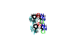 Fc1ccc(Oc2cc(Cl)ncn2)cc1C(F)(F)F.Fc1ccc(Oc2cc(Cl)ncn2)cc1C(F)(F)F